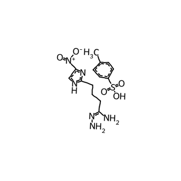 Cc1ccc(S(=O)(=O)O)cc1.NN=C(N)CCCc1nc([N+](=O)[O-])c[nH]1